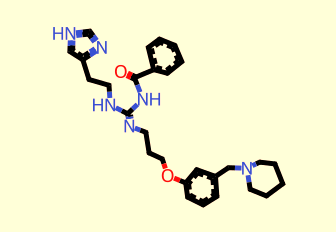 O=C(NC(=NCCCOc1cccc(CN2CCCCC2)c1)NCCc1c[nH]cn1)c1ccccc1